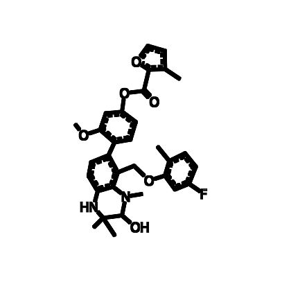 COc1cc(OC(=O)c2occc2C)ccc1-c1ccc2c(c1COc1cc(F)ccc1C)N(C)C(O)C(C)(C)N2